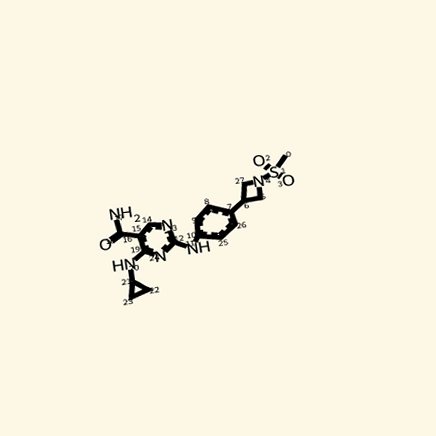 CS(=O)(=O)N1CC(c2ccc(Nc3ncc(C(N)=O)c(NC4CC4)n3)cc2)C1